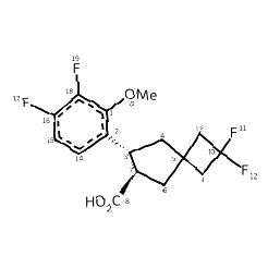 COc1c([C@@H]2CC3(C[C@H]2C(=O)O)CC(F)(F)C3)ccc(F)c1F